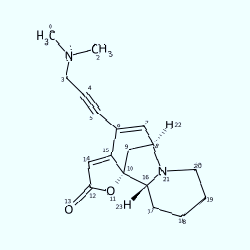 CN(C)CC#CC1=C[C@@H]2C[C@@]3(OC(=O)C=C13)[C@H]1CCCCN21